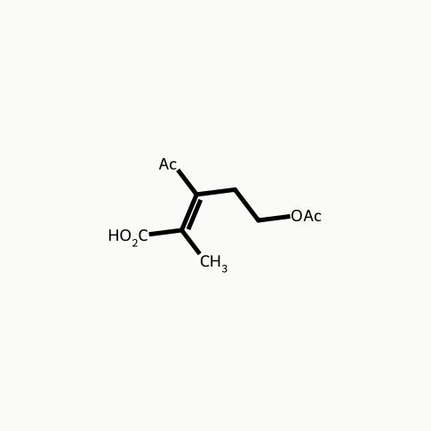 CC(=O)OCCC(C(C)=O)=C(C)C(=O)O